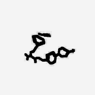 CC#N.CC(C)N(CCc1ccccc1)C(C)CCc1ccc(C2CCC(F)CC2)cc1